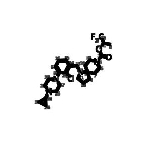 CC(OC(=O)N1CCC2(CCCN2Cc2cccc(N3CCN(C4CC4)CC3)c2Cl)CC1)C(F)(F)F